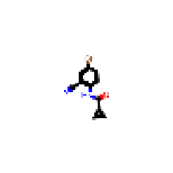 N#Cc1cc(Br)ccc1NC(=O)C1CC1